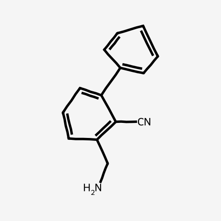 N#Cc1c(CN)cccc1-c1ccccc1